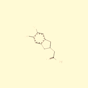 O=C(O)CC1Cc2cc(Br)c(Br)cc2C1